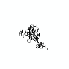 Cc1ccc([C@H](Nc2c(Nc3ccc(Cl)c4c3C(=O)N(CCN[S+](C)[O-])C4)c(=O)c2=O)C(C)(C)C)o1